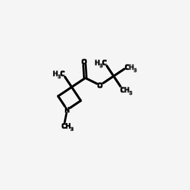 CN1CC(C)(C(=O)OC(C)(C)C)C1